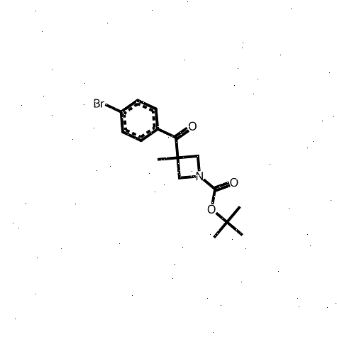 CC(C)(C)OC(=O)N1CC(C)(C(=O)c2ccc(Br)cc2)C1